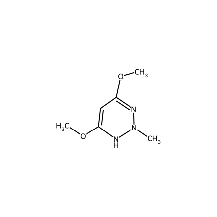 COC1=CC(OC)=NN(C)N1